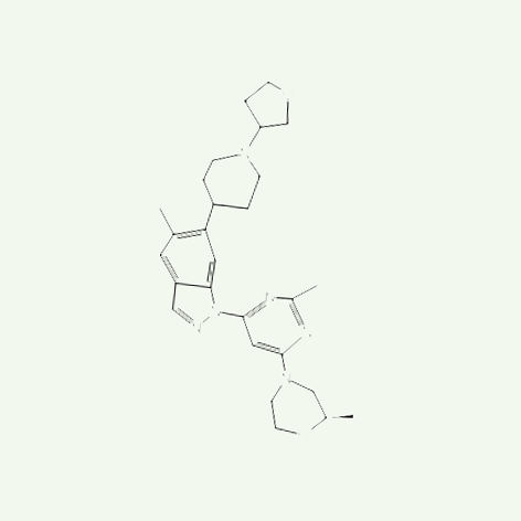 Cc1nc(N2CCO[C@H](C)C2)cc(-n2ncc3cc(C)c(C4CCN(C5CCOC5)CC4)cc32)n1